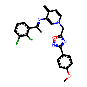 C=C1C=CN(Cc2nc(-c3ccc(OC)cc3)no2)C=C1/N=C(\C)c1cccc(F)c1F